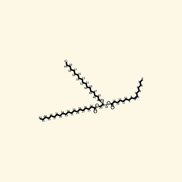 CCCCCC/C=C\CCCCCCCC(=O)OC[C@H](COC(=O)CCCCCCCCCCCCCCCCCCC)OCCCCCCCCCCCCCCCCCC